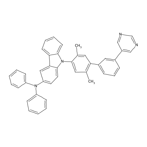 Cc1cc(-n2c3ccccc3c3cc(N(c4ccccc4)c4ccccc4)ccc32)c(C)cc1-c1cccc(-c2cncnc2)c1